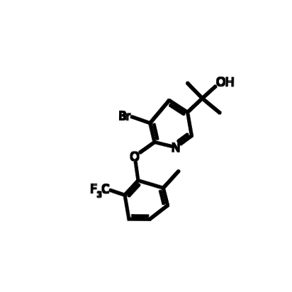 Cc1cccc(C(F)(F)F)c1Oc1ncc(C(C)(C)O)cc1Br